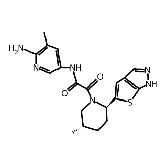 Cc1cc(NC(=O)C(=O)N2C[C@@H](C)CC[C@@H]2c2cc3cn[nH]c3s2)cnc1N